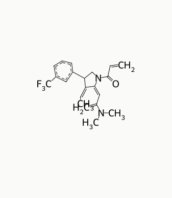 C=CC(=O)N1CC(c2cccc(C(F)(F)F)c2)C(=C/C)/C1=C\C(=C)N(C)C